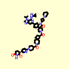 CC(C)n1cnc2cc(-c3ccc4c(c3)N(C3CC(N5CCCCC5)C3)C(=O)C43CCN(C(=O)C4CCC5(CCN(C(=O)C6CCN(c7ccc([C@H]8CCC(=O)NC8=O)cn7)CC6)CC5)C4)CC3)nc(NC3CC3)c21